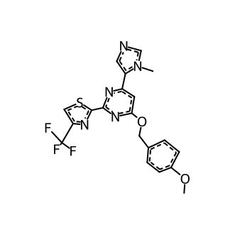 COc1ccc(COc2cc(-c3cncn3C)nc(-c3nc(C(F)(F)F)cs3)n2)cc1